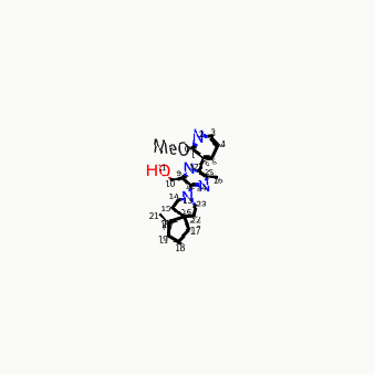 COc1ncccc1-c1nc(CO)c(N2CCC3(CCC[C@H]3C)CC2)nc1C